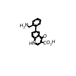 NCc1ccccc1-c1ccc2[nH]cc(C(=O)O)c(=O)c2c1